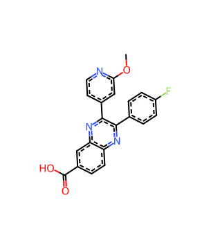 COc1cc(-c2nc3cc(C(=O)O)ccc3nc2-c2ccc(F)cc2)ccn1